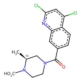 C[C@H]1CN(C(=O)c2ccc3c(Cl)cc(Cl)nc3c2)CCN1C(=O)O